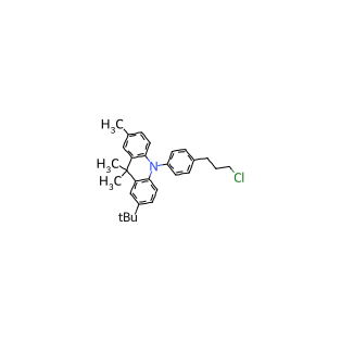 Cc1ccc2c(c1)C(C)(C)c1cc(C(C)(C)C)ccc1N2c1ccc(CCCCl)cc1